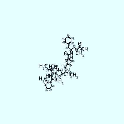 CCO[C@H](C[C@H](C(C)C)N(C)C(=O)[C@@H](NC(=O)C1CCCCN1C)[C@@H](C)CC)c1nc(C(=O)N[C@@H](Cc2ccccc2)C[C@H](C)C(=O)O)cs1